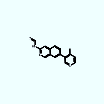 Cc1ccncc1-c1ccc2cc(NC=O)ncc2c1